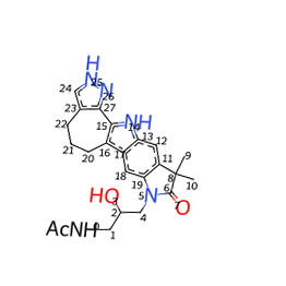 CC(=O)NCC(O)CN1C(=O)C(C)(C)c2cc3[nH]c4c(c3cc21)CCCc1c[nH]nc1-4